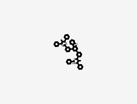 CC1=C(c2ccccc2)NC(c2ccccc2)N=C1c1cccc(-c2cc(-c3cccc(-c4nc(-c5ccccc5)c(C)c(-c5ccccc5)n4)c3)c3c(c2)oc2ccccc23)c1